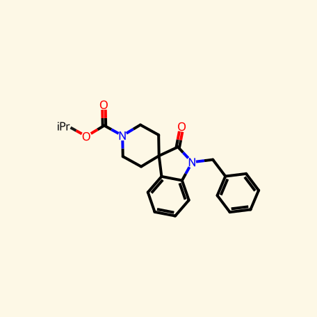 CC(C)OC(=O)N1CCC2(CC1)C(=O)N(Cc1ccccc1)c1ccccc12